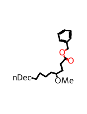 CCCCCCCCCCCCCCC(CCC(=O)OCc1ccccc1)OC